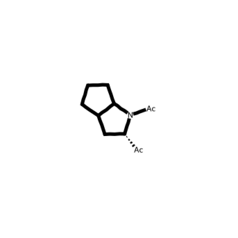 CC(=O)[C@@H]1CC2CCCC2N1C(C)=O